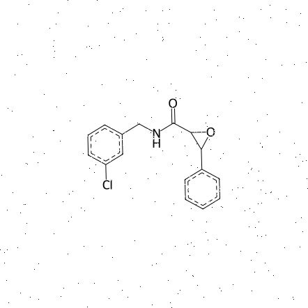 O=C(NCc1cccc(Cl)c1)C1OC1c1ccccc1